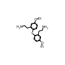 CCOc1ccc(Sc2ccc(OCC)cc2CCN)c(CCN)c1